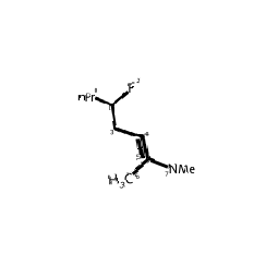 CCCC(F)C/C=C(\C)NC